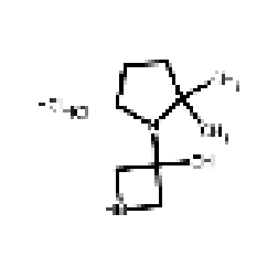 CC1(C)CCCN1C1(C)CNC1.Cl.Cl